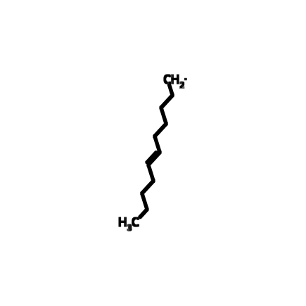 [CH2]CCCCC=CCCCC